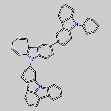 C1=Cc2c(n(-c3ccc4c5cccc6c7ccccc7n(c4c3)c65)c3ccc(-c4ccc5c(c4)c4ccccc4n5-c4ccccc4)cc23)C=CC1